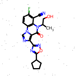 CC(CO)n1c(=O)c2c(-c3noc(C4CCCC4)n3)ncn2c2ccc(F)c(C#N)c21